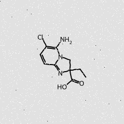 CCC1(C(=O)O)CN2C(=N1)C=CC(Cl)=C2N